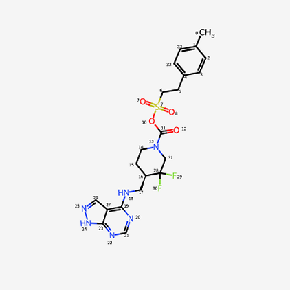 Cc1ccc(CCS(=O)(=O)OC(=O)N2CC[C@H](CNc3ncnc4[nH]ncc34)C(F)(F)C2)cc1